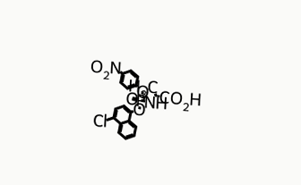 C[C@H](NP(=O)(Oc1ccc([N+](=O)[O-])cc1)Oc1ccc(Cl)c2ccccc12)C(=O)O